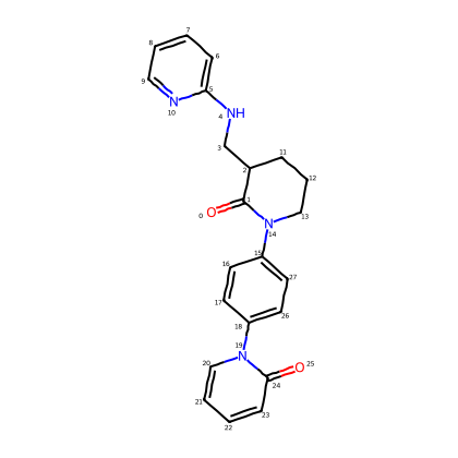 O=C1C(CNc2ccccn2)CCCN1c1ccc(-n2ccccc2=O)cc1